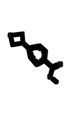 COC(=O)c1ccc(C2COC2)cc1